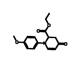 CCOC(=O)C1CC(=O)C=CN1c1ccc(OC)cc1